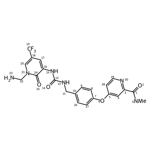 CNC(=O)c1cc(Oc2ccc(CNC(=O)Nc3cc(C(F)(F)F)cn(CN)c3=O)cc2)ccn1